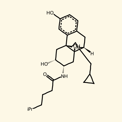 CC(C)CCCC(=O)N[C@H]1C[C@@]2(O)[C@H]3Cc4ccc(O)cc4[C@@]2(CCN3CC2CC2)C[C@H]1O